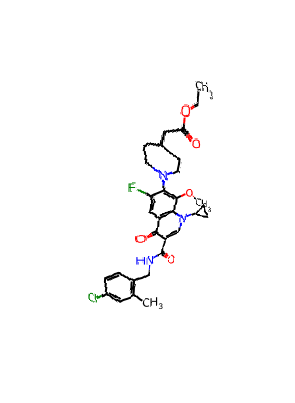 CCOC(=O)CC1CCN(c2c(F)cc3c(=O)c(C(=O)NCc4ccc(Cl)cc4C)cn(C4CC4)c3c2OC)CC1